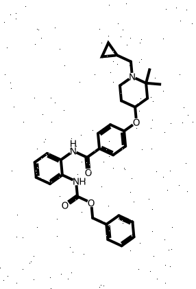 CC1(C)CC(Oc2ccc(C(=O)Nc3ccccc3NC(=O)OCc3ccccc3)cc2)CCN1CC1CC1